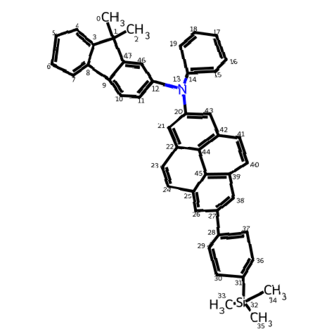 CC1(C)c2ccccc2-c2ccc(N(c3ccccc3)c3cc4ccc5cc(-c6ccc([Si](C)(C)C)cc6)cc6ccc(c3)c4c56)cc21